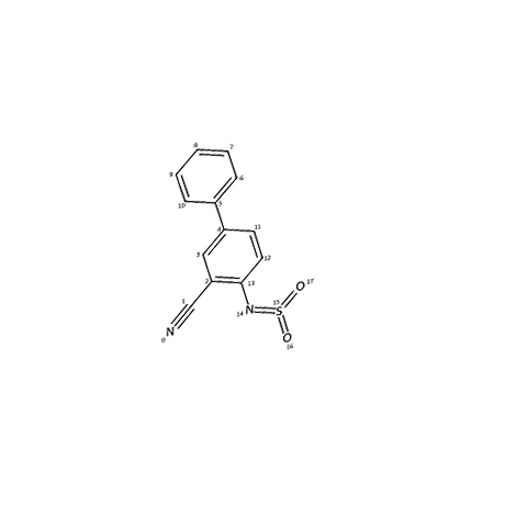 N#Cc1cc(-c2ccccc2)ccc1N=S(=O)=O